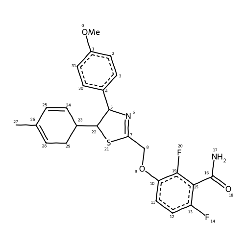 COc1ccc(C2N=C(COc3ccc(F)c(C(N)=O)c3F)SC2C2C=CC(C)=CC2)cc1